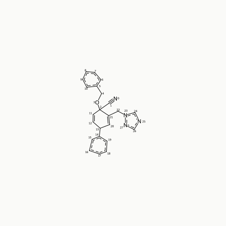 N#CC1(OCc2ccccc2)C=CC(c2ccccc2)C=C1Cn1cncn1